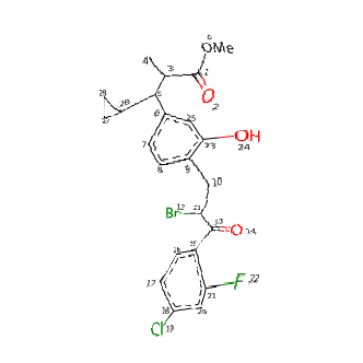 COC(=O)C(C)C(c1ccc(CC(Br)C(=O)c2ccc(Cl)cc2F)c(O)c1)C1CC1